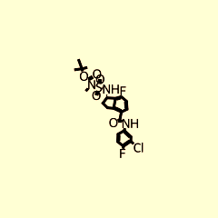 CN(C(=O)OC(C)(C)C)S(=O)(=O)N[C@H]1CCc2c(C(=O)Nc3ccc(F)c(Cl)c3)ccc(F)c21